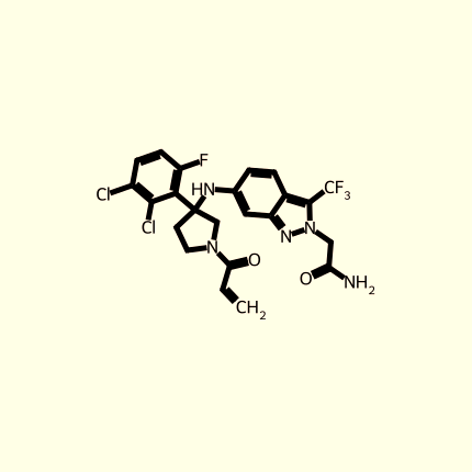 C=CC(=O)N1CCC(Nc2ccc3c(C(F)(F)F)n(CC(N)=O)nc3c2)(c2c(F)ccc(Cl)c2Cl)C1